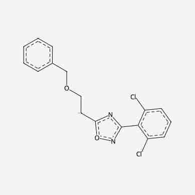 Clc1cccc(Cl)c1-c1noc([CH]COCc2ccccc2)n1